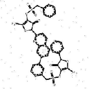 NC1=C(OS(=O)(=O)Cc2cccc(-c3ccc4ccc(C5OC(N)=C(OS(=O)(=O)Cc6ccccc6)C5=O)nc4c3)c2)C(=O)C(c2ccncc2)O1